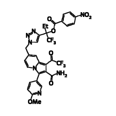 CCC(OC(=O)c1ccc([N+](=O)[O-])cc1)(c1cn(Cc2ccn3c(-c4ccc(OC)nc4)c(C(N)=O)c(C(=O)C(F)(F)F)c3c2)nn1)C(F)(F)F